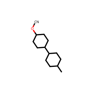 CC1CCC(C2CCC(OC#N)CC2)CC1